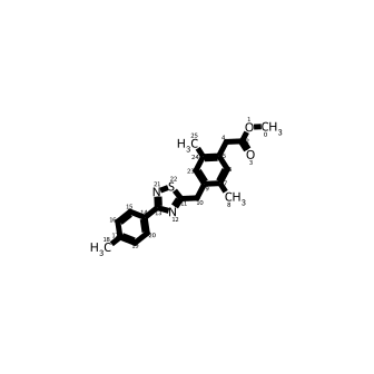 COC(=O)Cc1cc(C)c(Cc2nc(-c3ccc(C)cc3)ns2)cc1C